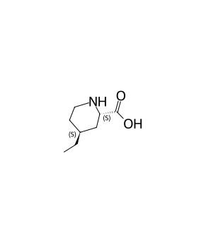 CC[C@H]1CCN[C@H](C(=O)O)C1